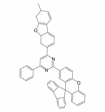 CC1C=CC2=C(C1)OC1CC(c3cc(-c4ccccc4)nc(-c4ccc5c(c4)C4(c6ccccc6O5)c5ccccc5-c5ccccc54)n3)=CC=C21